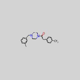 Cc1cccc(CN2CCN(C(=O)Cc3ccc(C(F)(F)F)cc3)CC2)c1